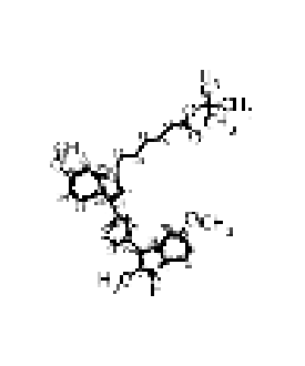 COc1ccc2[nH]c(C)c(-c3csc(-c4cn(CCCCCC(=O)OC(C)(C)C)c5cc(OC)ccc45)n3)c2c1